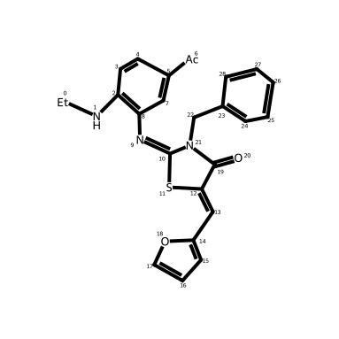 CCNc1ccc(C(C)=O)cc1/N=C1/S/C(=C\c2ccco2)C(=O)N1Cc1ccccc1